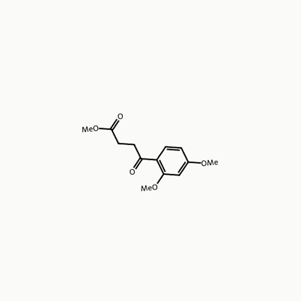 COC(=O)CCC(=O)c1ccc(OC)cc1OC